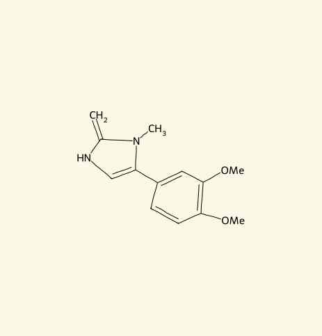 C=C1NC=C(c2ccc(OC)c(OC)c2)N1C